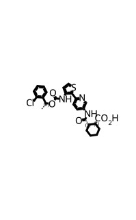 C[C@@H](OC(=O)Nc1ccsc1-c1ccc(NC(=O)[C@H]2CCCC[C@@H]2C(=O)O)cn1)c1ccccc1Cl